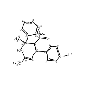 COC(=O)C1C(c2ccc(I)cc2)C=C(C)NC1(C)c1cccnc1